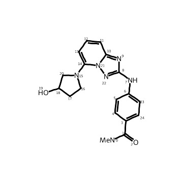 CNC(=O)c1ccc(Nc2nc3cccc(N4CCC(O)C4)n3n2)cc1